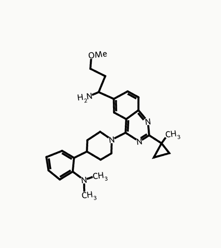 COCCC(N)c1ccc2nc(C3(C)CC3)nc(N3CCC(c4ccccc4N(C)C)CC3)c2c1